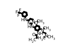 C=CC(=O)Nc1cc(Nc2nccc(Nc3cccc(C(F)(F)F)c3)n2)c(OC)cc1N(C)CCN(C)C